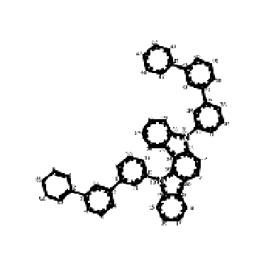 C1=CC(c2cccc(-c3cccc(-n4c5ccccc5c5ccc6c(c7ccccc7n6-c6cccc(-c7cccc(-c8ccccc8)c7)c6)c54)c3)c2)=CCC1